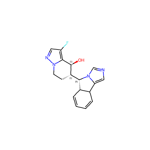 O[C@@H]1c2c(F)cnn2CC[C@H]1[C@H]1C2C=CC=CC2c2cncn21